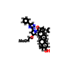 C=C(C)[C@@H]1CC[C@]2(C(=O)N3C[C@H](OCCOC)C[C@H]3c3nc(-c4ccccc4)c[nH]3)CC[C@]3(C)[C@H](CC[C@@H]4[C@@]5(C)CC[C@H](O)C(C)(C)[C@@H]5CC[C@]43C)[C@@H]12